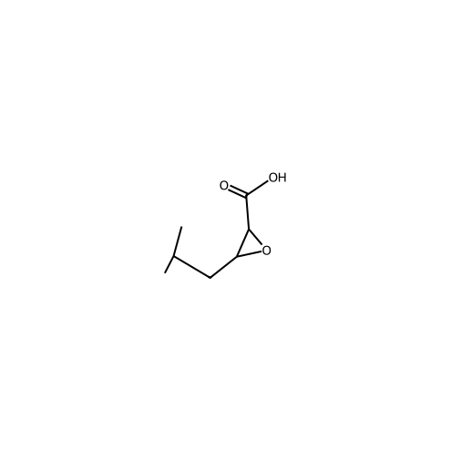 CC(C)CC1OC1C(=O)O